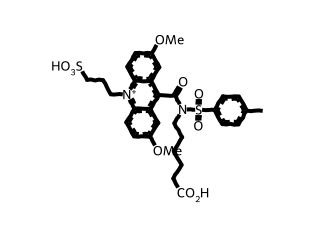 COc1ccc2c(c1)c(C(=O)N(CCCCCC(=O)O)S(=O)(=O)c1ccc(C)cc1)c1cc(OC)ccc1[n+]2CCCS(=O)(=O)O